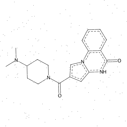 CN(C)C1CCN(C(=O)c2cc3[nH]c(=O)c4ccccc4n3c2)CC1